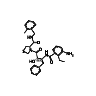 CCc1c(N)cccc1C(=O)N[C@@H](Cc1ccccc1)[C@H](O)C(=O)N1CSCC1C(=O)NCc1ccccc1C